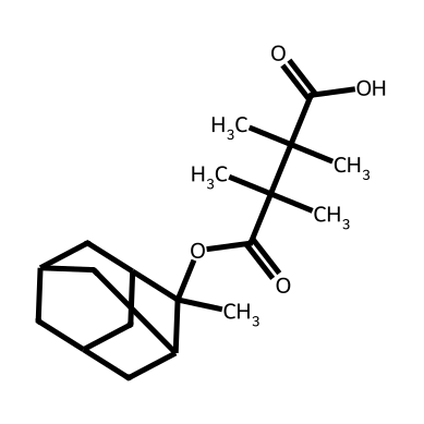 CC1(OC(=O)C(C)(C)C(C)(C)C(=O)O)C2CC3CC(C2)CC1C3